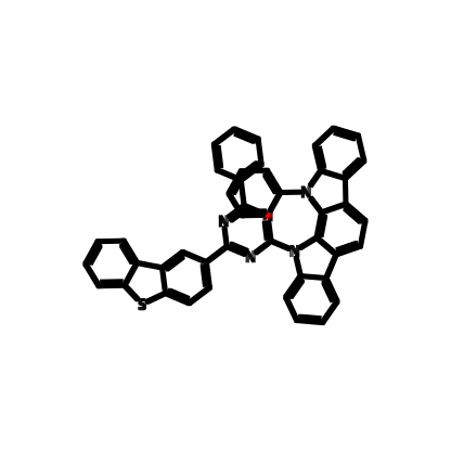 c1ccc(-c2nc(-c3ccc4sc5ccccc5c4c3)nc(-n3c4ccccc4c4ccc5c6ccccc6n(-c6ccccc6)c5c43)n2)cc1